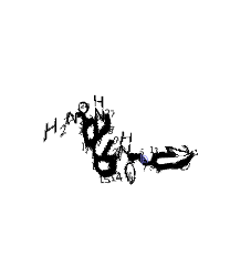 Cc1c(NC(=O)/C=C/c2cccnc2)cccc1-c1ccc(C(N)=O)c2[nH]ccc12